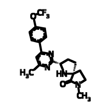 Cc1cc(-c2ccc(OC(F)(F)F)cc2)nc([C@@H]2CC[C@@]3(CCN(C)C3=O)N2)n1